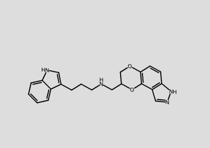 c1ccc2c(CCCNCC3COc4ccc5[nH]ncc5c4O3)c[nH]c2c1